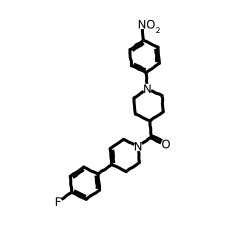 O=C(C1CCN(c2ccc([N+](=O)[O-])cc2)CC1)N1CC=C(c2ccc(F)cc2)CC1